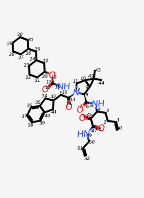 C=CCCC(NC(=O)[C@@H]1C2C(CN1C(=O)[C@@H](NC(=O)OC1CCCC(CC3CCCCC3)C1)C1Cc3ccccc3C1)C2(C)C)C(=O)C(=O)NCC=C